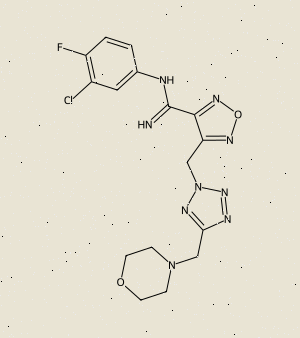 N=C(Nc1ccc(F)c(Cl)c1)c1nonc1Cn1nnc(CN2CCOCC2)n1